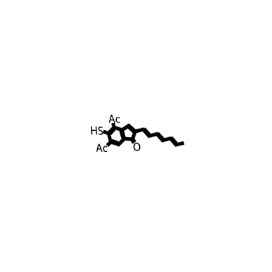 C/C=C/C=C/C=C/C1=Cc2c(cc(C(C)=O)c(S)c2C(C)=O)C1=O